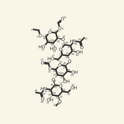 CCO[C@@H]1OC(OC=O)[C@@H](O[C@H]2OC(CO)[C@@H](O[C@@H]3OC(OC=O)[C@@H](O[C@H]4OC(CO)[C@@H](OC)[C@H](O)C4NC(C)=O)[C@H](O)C3O)[C@H](O)C2NC(C)=O)[C@H](O)C1O